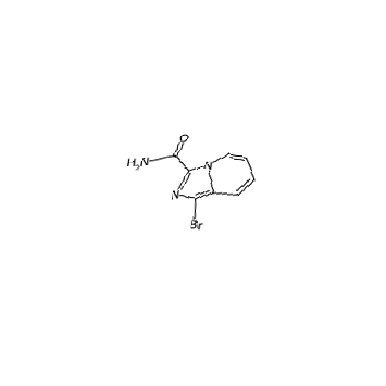 NC(=O)c1nc(Br)c2ccccn12